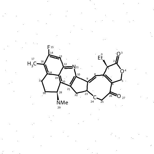 CC[C@H]1C(=O)OCC2=C1/C=C1/c3nc4cc(F)c(C)c5c4c(c3CC1CCC2=O)[C@@H](NC)CC5